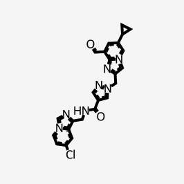 O=Cc1cc(C2CC2)cn2cc(Cn3cc(C(=O)NCc4ncn5ccc(Cl)cc45)cn3)nc12